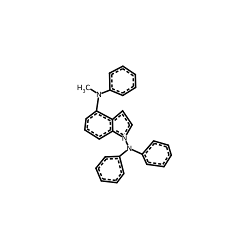 CN(c1ccccc1)c1cccc2c1ccn2N(c1ccccc1)c1ccccc1